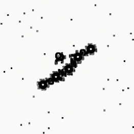 CC1CCCO1.Cc1cc(OCc2ccccc2)ccc1N=Nc1ccc(N=Nc2ccc(OCc3ccccc3)cc2C)cc1